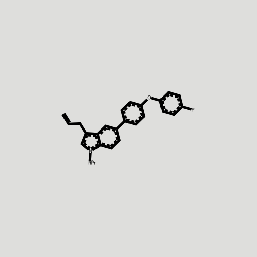 C=CCc1cn(CCC)c2ccc(-c3ccc(Oc4ccc(F)cc4)cc3)cc12